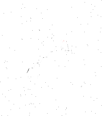 CCCCCCCC/C=C\CCCCCCC[CH2][GeH]([OH])[GeH3]